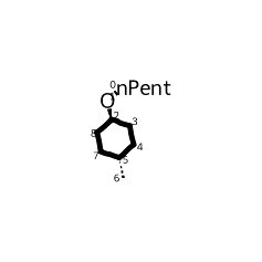 CCCCCO[C@H]1CC[C@H](C)CC1